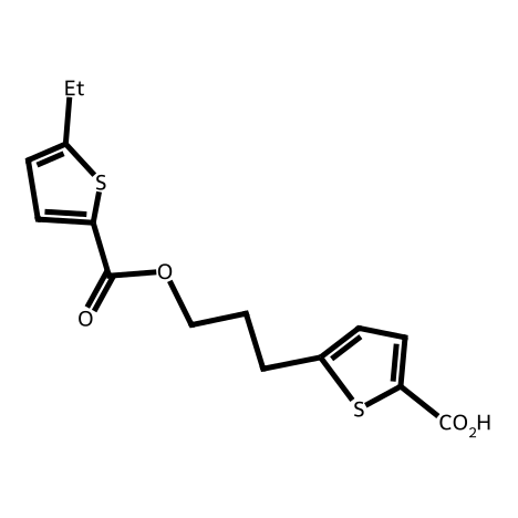 CCc1ccc(C(=O)OCCCc2ccc(C(=O)O)s2)s1